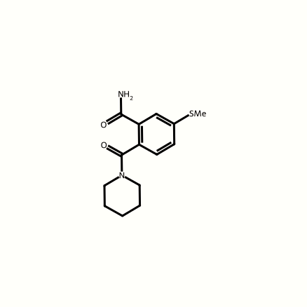 CSc1ccc(C(=O)N2CCCCC2)c(C(N)=O)c1